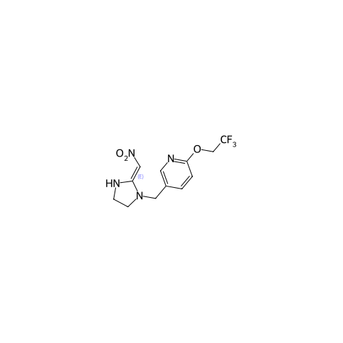 O=[N+]([O-])/C=C1\NCCN1Cc1ccc(OCC(F)(F)F)nc1